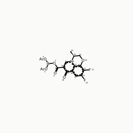 CC(=O)OB(OC(C)=O)OC(=O)c1cn2c3c(c(F)c(F)cc3c1=O)OC[C@@H]2C